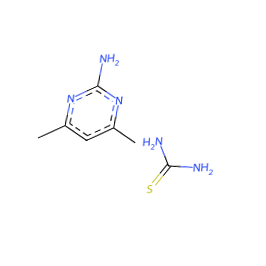 Cc1cc(C)nc(N)n1.NC(N)=S